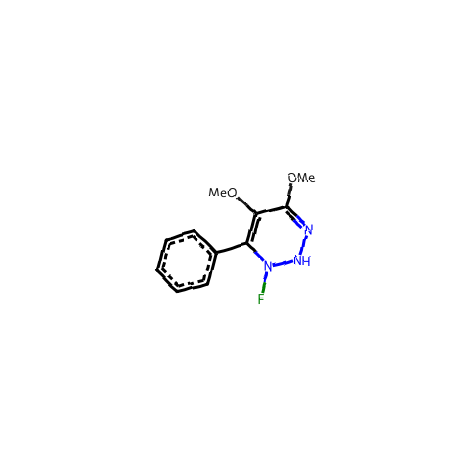 COC1=NNN(F)C(c2ccccc2)=C1OC